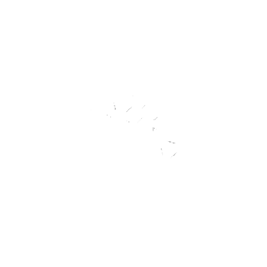 C[C@H]1CSC2Cn3cc(C(=O)NCc4ccc(F)cc4)c(=O)c(O)c3C(=O)N21